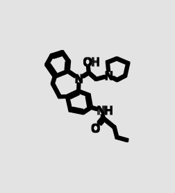 CCCC(=O)Nc1ccc2c(c1)N(C(O)CN1CCCCC1)c1ccccc1CC2